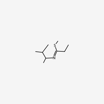 CC/C(=N/C(C)C(C)C)SC